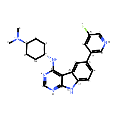 CN(C)[C@H]1CC[C@H](Nc2ncnc3[nH]c4ccc(-c5cncc(F)c5)cc4c23)CC1